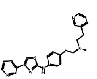 CN(CCc1ccc(Nc2nc(-c3cccnc3)cs2)cc1)CCc1cccnc1